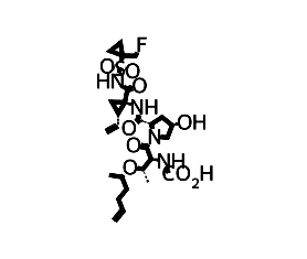 C=CCCC(C)O[C@@H](C)[C@H](NC(=O)O)C(=O)N1C[C@H](O)C[C@H]1C(=O)N[C@]1(C(=O)NS(=O)(=O)C2(CF)CC2)C[C@H]1C=C